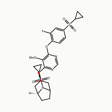 COc1c(Oc2ccc(S(=O)(=O)C3CC3)cc2F)ncnc1O[C@H]1CC2CC[C@@H](C1)N2S(=O)(=O)C1CC1